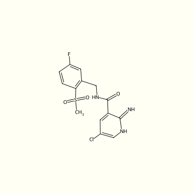 CS(=O)(=O)c1ccc(F)cc1CNC(=O)c1cc(Cl)c[nH]c1=N